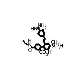 CC(C)CNC(=O)c1ccc(-c2ccccc2/C=C/c2ccc(C(=N)N)cc2)c(C(=O)O)c1.CS(=O)(=O)O